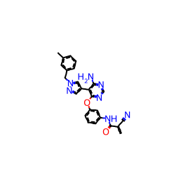 C=C(C#N)C(=O)Nc1cccc(Oc2ncnc(N)c2-c2cnn(Cc3cccc(C)c3)c2)c1